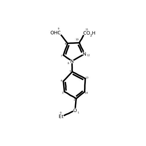 CCOc1ccc(-n2cc(C=O)c(C(=O)O)n2)cc1